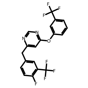 Fc1ccc(Cc2cc(Oc3cccc(C(F)(F)F)c3)ncn2)cc1C(F)(F)F